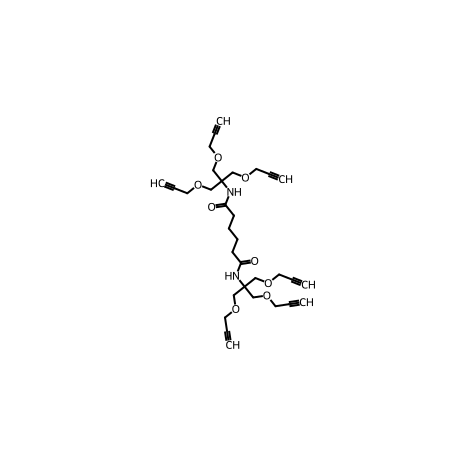 C#CCOCC(COCC#C)(COCC#C)NC(=O)CCCCC(=O)NC(COCC#C)(COCC#C)COCC#C